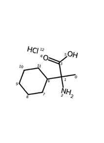 CC(N)(C(=O)O)C1CCCCC1.Cl